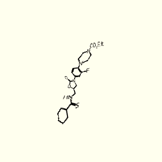 CCOC(=O)N1CCN(c2ccc(N3CC(CNC(=S)C4CCCCC4)OC3=O)cc2F)CC1